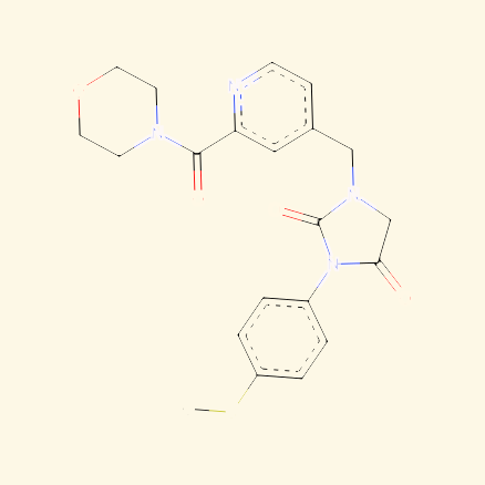 O=C(c1cc(CN2CC(=O)N(c3ccc(SC(F)(F)F)cc3)C2=O)ccn1)N1CCOCC1